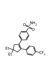 CCC1(CC)CC(c2ccc(C(F)(F)F)cc2)=C(c2ccc(S(N)(=O)=O)cc2)C1